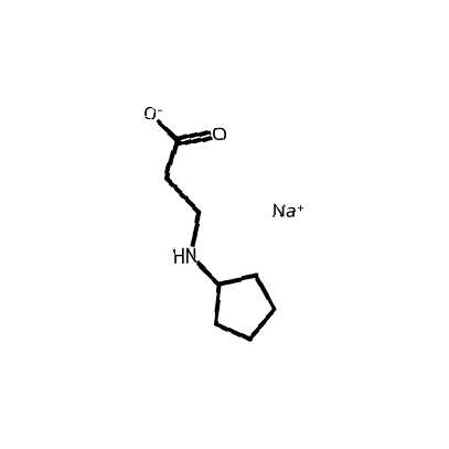 O=C([O-])CCNC1CCCC1.[Na+]